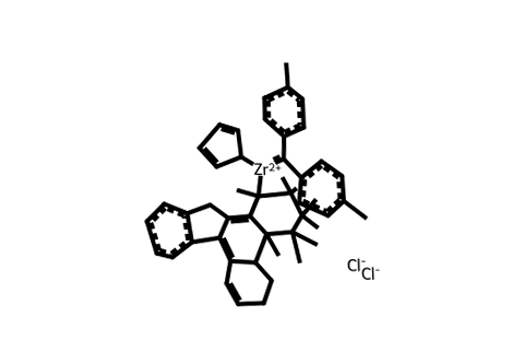 Cc1ccc([C](c2ccc(C)cc2)=[Zr+2]([CH]2C=CC=C2)[C]2(C)C3=C4Cc5ccccc5C4=C4C=CCCC4C3(C)C(C)(C)C(C)(C)C2(C)C)cc1.[Cl-].[Cl-]